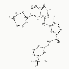 Cc1ccc(C(=O)NCc2cccc(C(C)(C)C)c2)cc1Nc1ncnc2cnc(N3CCCN(C)CC3)nc12